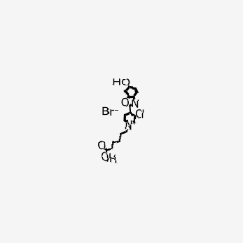 O=C(O)CCCCC[n+]1ccc(-c2nc3ccc(O)cc3o2)c(Cl)c1.[Br-]